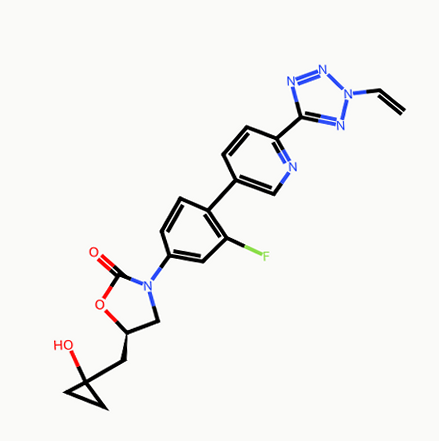 C=Cn1nnc(-c2ccc(-c3ccc(N4C[C@@H](CC5(O)CC5)OC4=O)cc3F)cn2)n1